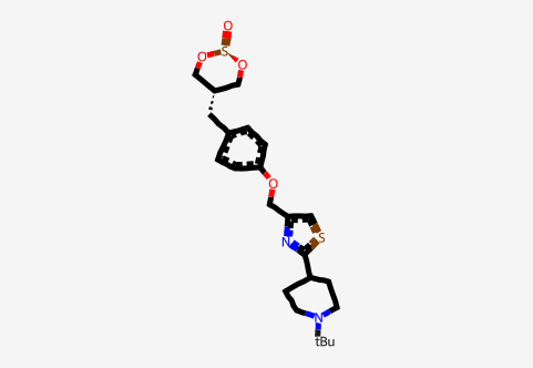 CC(C)(C)N1CCC(c2nc(COc3ccc(C[C@H]4CO[S@](=O)OC4)cc3)cs2)CC1